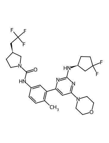 Cc1ccc(NC(=O)N2CC[C@@H](CC(F)(F)F)C2)cc1-c1cc(N2CCOCC2)nc(N[C@H]2CCC(F)(F)C2)n1